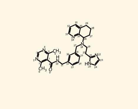 Cc1ncnc(C)c1C(=O)NCc1cccc(CN(CCc2ncc[nH]2)C2CCCc3cccnc32)c1